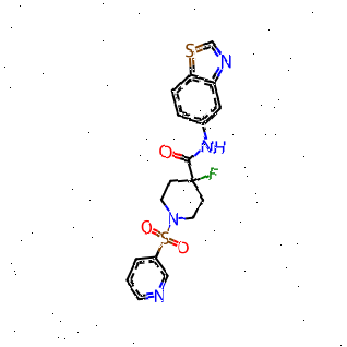 O=C(Nc1ccc2scnc2c1)C1(F)CCN(S(=O)(=O)c2cccnc2)CC1